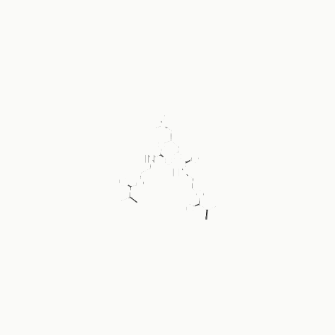 C=C(C)C(=O)OCCNC(=O)OCC(CN(C)C)OC(=O)NCCOC(=O)C(=C)C